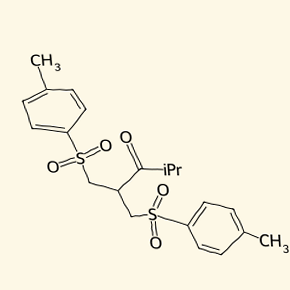 Cc1ccc(S(=O)(=O)CC(CS(=O)(=O)c2ccc(C)cc2)C(=O)C(C)C)cc1